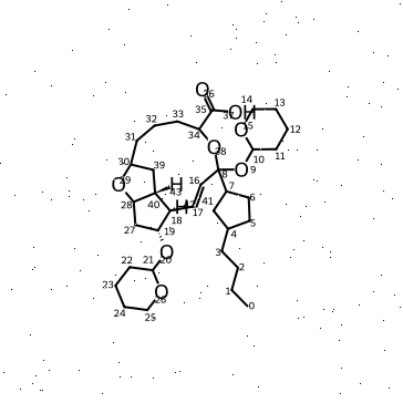 CCCCC1CCC(C2(OC3CCCCO3)/C=C/[C@H]3[C@H](OC4CCCCO4)CC4OC(CCCC(C(=O)O)O2)C[C@@H]43)C1